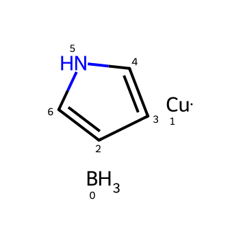 B.[Cu].c1cc[nH]c1